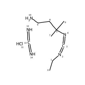 CCN=C=NC(C)(C)CCN.Cl.N=C=N